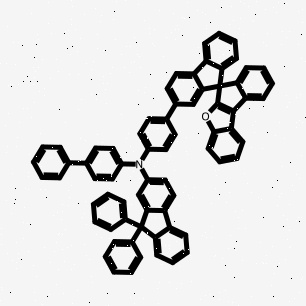 c1ccc(-c2ccc(N(c3ccc(-c4ccc5c(c4)C4(c6ccccc6-5)c5ccccc5-c5c4oc4ccccc54)cc3)c3ccc4c(c3)C(c3ccccc3)(c3ccccc3)c3ccccc3-4)cc2)cc1